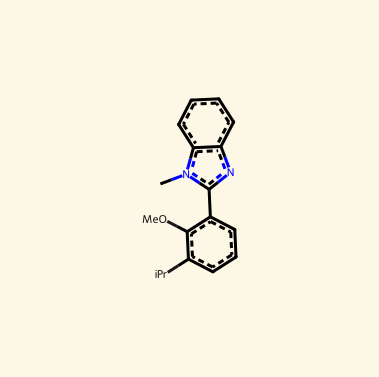 COc1c(-c2nc3ccccc3n2C)cccc1C(C)C